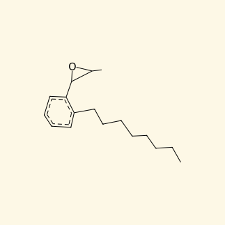 CCCCCCCCc1ccccc1C1OC1C